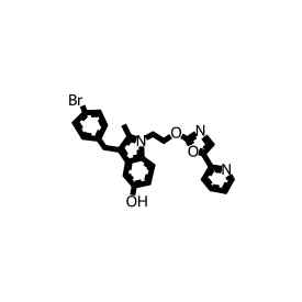 Cc1c(Cc2ccc(Br)cc2)c2cc(O)ccc2n1CCOc1ncc(-c2ccccn2)o1